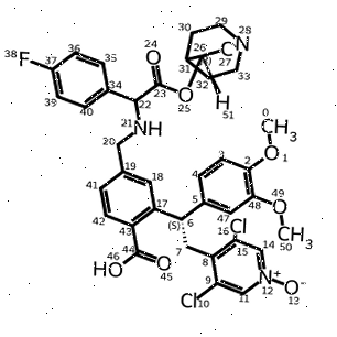 COc1ccc([C@H](Cc2c(Cl)c[n+]([O-])cc2Cl)c2cc(CNC(C(=O)O[C@H]3CN4CCC3CC4)c3ccc(F)cc3)ccc2C(=O)O)cc1OC